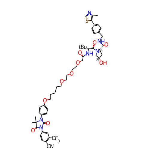 Cc1ncsc1-c1ccc(CNC(=O)[C@@H]2C[C@@H](O)CN2C(=O)C(NC(=O)COCCOCCOCCCCCOc2ccc(N3C(=O)N(c4ccc(C#N)c(C(F)(F)F)c4)C(=O)C3(C)C)cc2)C(C)(C)C)cc1